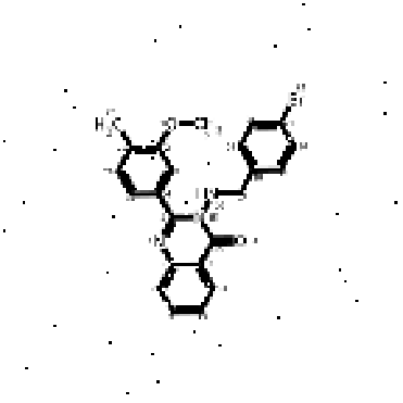 COc1cc(-c2nc3ccccc3c(=O)n2NCc2ccc(Br)cc2)ccc1C